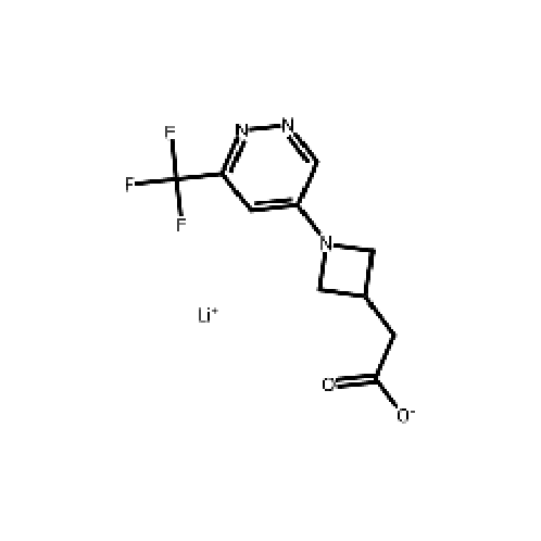 O=C([O-])CC1CN(c2cnnc(C(F)(F)F)c2)C1.[Li+]